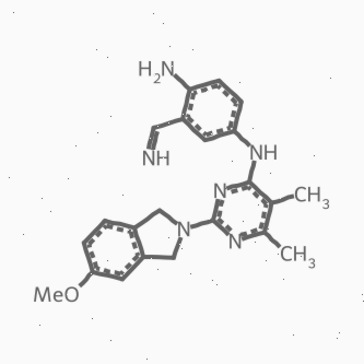 COc1ccc2c(c1)CN(c1nc(C)c(C)c(Nc3ccc(N)c(C=N)c3)n1)C2